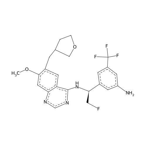 COc1cc2ncnc(N[C@H](CF)c3cc(N)cc(C(F)(F)F)c3)c2cc1CC1CCOC1